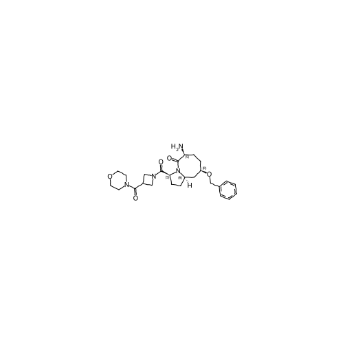 N[C@H]1CC[C@@H](OCc2ccccc2)C[C@H]2CC[C@@H](C(=O)N3CC(C(=O)N4CCOCC4)C3)N2C1=O